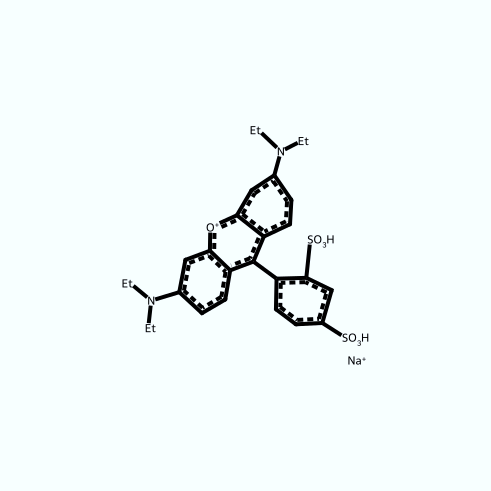 CCN(CC)c1ccc2c(-c3ccc(S(=O)(=O)O)cc3S(=O)(=O)O)c3ccc(N(CC)CC)cc3[o+]c2c1.[Na+]